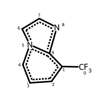 FC(F)(F)c1c[c]cn2ccnc12